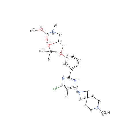 Cc1c(Cl)nc(-c2cccc(OC[C@@H](CN(C)C(=O)OC(C)(C)C)O[Si](C)(C)C(C)(C)C)c2)nc1N1CC2(CCN(C(=O)O)CC2)C1